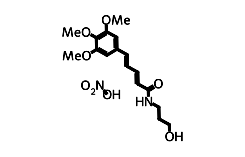 COc1cc(/C=C/C=C/C(=O)NCCCO)cc(OC)c1OC.O=[N+]([O-])O